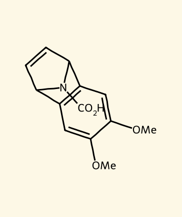 COc1cc2c(cc1OC)C1C=CC2N1C(=O)O